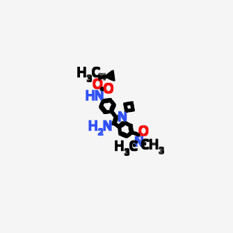 C[C@@H](OC(=O)Nc1ccc(-c2c(N)c3ccc(C(=O)N(C)C)cc3n2C2CCC2)cc1)C1CC1